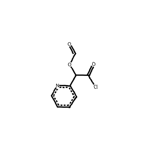 O=COC(C(=O)Cl)c1ccccn1